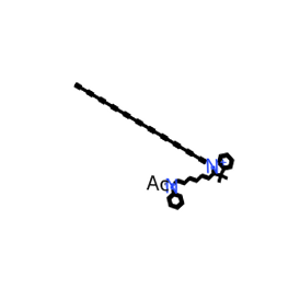 C#CC#CC#CC#CC#CC#CC#CC#CC#CC#CC#C[N+]1=C(/C=C/C=C/C=C/N(C(C)=O)c2ccccc2)C(C)(C)c2ccccc21